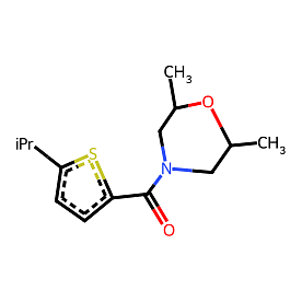 CC1CN(C(=O)c2ccc(C(C)C)s2)CC(C)O1